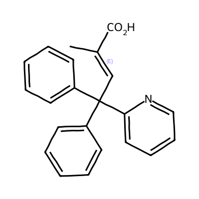 C/C(=C\C(c1ccccc1)(c1ccccc1)c1ccccn1)C(=O)O